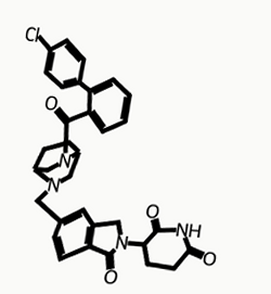 O=C1CCC(N2Cc3cc(CN4CC5CCC4CN5C(=O)c4ccccc4-c4ccc(Cl)cc4)ccc3C2=O)C(=O)N1